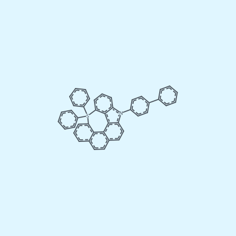 c1ccc(-c2ccc(-n3c4cccc5c4c4c6c(ccc7cccc(c76)S5(c5ccccc5)c5ccccc5)ccc43)cc2)cc1